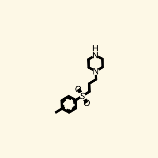 Cc1ccc(S(=O)(=O)CCCN2CCNCC2)cc1